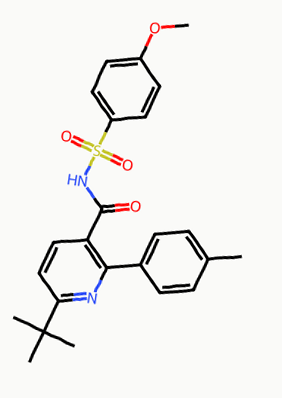 COc1ccc(S(=O)(=O)NC(=O)c2ccc(C(C)(C)C)nc2-c2ccc(C)cc2)cc1